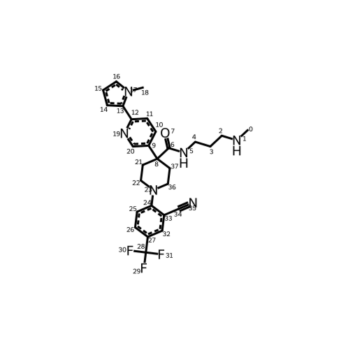 CNCCCNC(=O)C1(c2ccc(-c3cccn3C)nc2)CCN(c2ccc(C(F)(F)F)cc2C#N)CC1